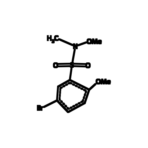 COc1ccc(Br)cc1S(=O)(=O)N(C)OC